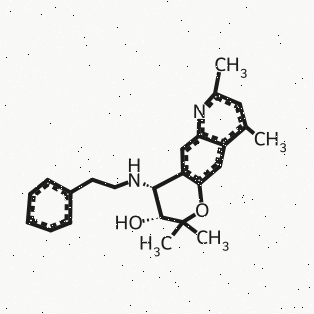 Cc1cc(C)c2cc3c(cc2n1)[C@@H](NCCc1ccccc1)[C@@H](O)C(C)(C)O3